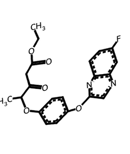 CCOC(=O)CC(=O)C(C)Oc1ccc(Oc2cnc3cc(F)ccc3n2)cc1